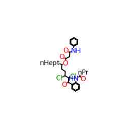 CCCCCCCC(CCC(Cl)C(Cl)C(=O)c1ccccc1NC(=O)CCC)OC(=O)CC(=O)Nc1ccccc1